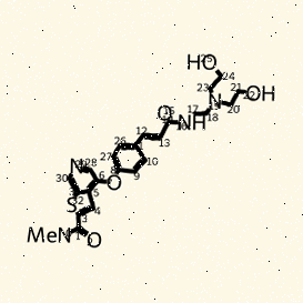 CNC(=O)c1cc2c(Oc3ccc(/C=C/C(=O)NCCN(CCO)CCO)cc3)cncc2s1